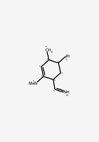 CNC1=CC(C)C(C(C)C)CC1C=N